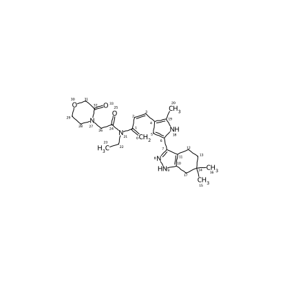 C=C(/C=C\c1cc(-c2n[nH]c3c2CCC(C)(C)C3)[nH]c1C)N(CC)C(=O)CN1CCOCC1=O